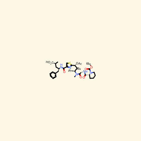 CC[C@H](C)[C@H](NC(=O)[C@H]1CCCCN1C(=O)OC(C)(C)C)C(=O)N(C)[C@H](C[C@@H](OC(C)=O)c1nc(C(=O)N[C@@H](Cc2ccccc2)C[C@H](C)C(=O)O)cs1)C(C)C